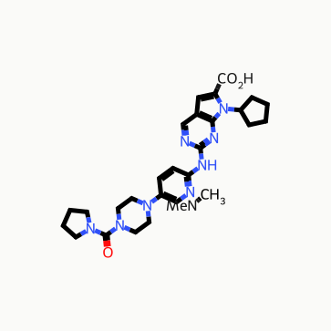 CNC.O=C(O)c1cc2cnc(Nc3ccc(N4CCN(C(=O)N5CCCC5)CC4)cn3)nc2n1C1CCCC1